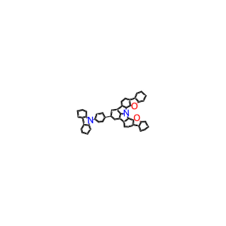 c1ccc2c(c1)oc1c2ccc2c3cc(-c4ccc(-n5c6ccccc6c6ccccc65)cc4)cc4c5ccc6c7ccccc7oc6c5n(c34)c21